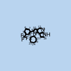 FC(F)(F)c1cccc(-c2cc3cnc4[nH]ccc4c3n2C2CCCCCC2)c1